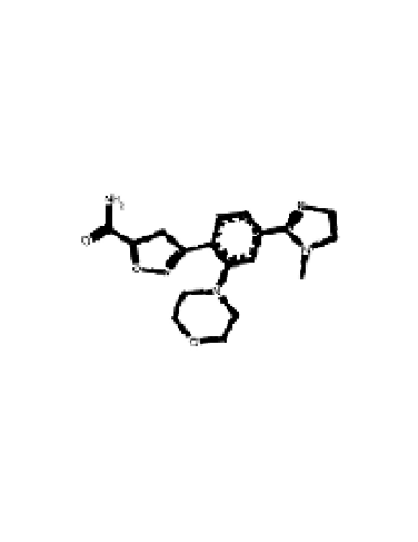 CN1CCN=C1c1ccc(C2=NOC(C(N)=O)C2)c(N2CCOCC2)c1